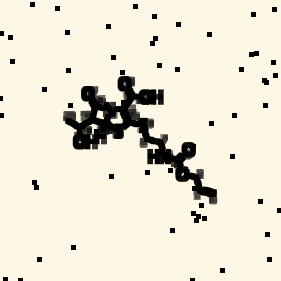 C=CCOC(=O)NCCSC1=C(C(=O)O)N2C(=O)C(C(C)O)[C@H]2S1